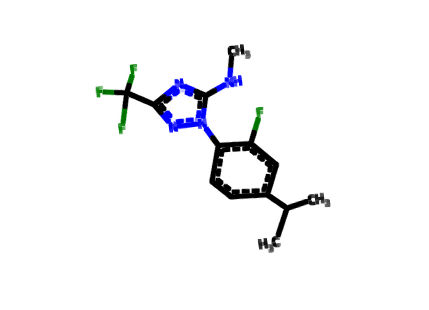 CNc1nc(C(F)(F)F)nn1-c1ccc(C(C)C)cc1F